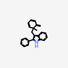 C=C1C=CC=CC1(C)Cc1c(-c2ccccc2)[nH]c2ccccc12